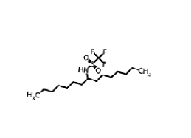 CCCCCCCC(CCCCCCC)NS(=O)(=O)C(F)(F)F